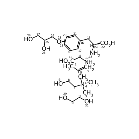 C=CC.C[N+](C)(C)CCO.NCC(=O)O.N[C@@H](Cc1ccccc1)C(=O)O.OCC(O)CO.OCCO